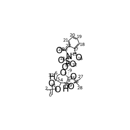 CC1(C)OC2[C@@H](CO[C@@]3(COS(=O)(=O)N4C(=O)c5ccccc5C4=O)OC(C)(C)O[C@@H]23)O1